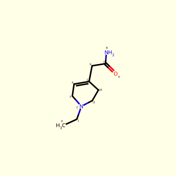 CCN1CC=C(CC(N)=O)CC1